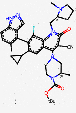 Cc1ccc2[nH]ncc2c1-c1c(C2CC2)cc2c(N3CCN(C(=O)OC(C)(C)C)[C@H](C)C3)c(C#N)c(=O)n(C[C@@H]3CCCN3C)c2c1F